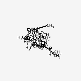 CCCCCCCCC(NC(=O)[C@@H]1CCCN1C(=O)CC12CC=C(CC(C)C1)C2)C(=O)NCC(=O)N(C(C)C)C(C)(C)C(=O)NCC(=O)N(C(C)C)[C@@H](CC(C)C)C(=O)NC(C)(C)C(=O)NC(C)(C)C(=O)NCCC(=O)NCCN(C)C